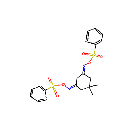 CC1(C)CC(=NOS(=O)(=O)c2ccccc2)CC(=NOS(=O)(=O)c2ccccc2)C1